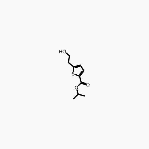 CC(C)OC(=O)c1ccc(CCO)s1